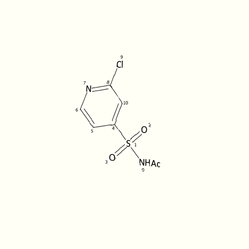 CC(=O)NS(=O)(=O)c1ccnc(Cl)c1